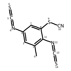 Cc1cc(N=C=S)cc(SC#N)c1N=C=S